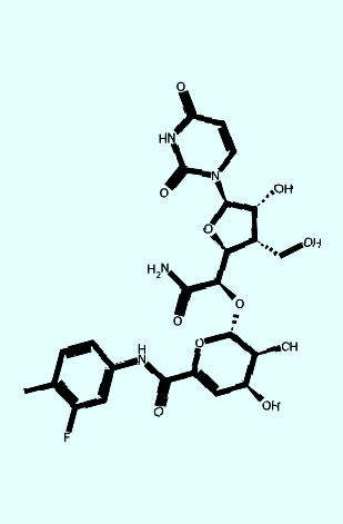 Cc1ccc(NC(=O)C2=C[C@H](O)[C@H](O)[C@@H](O[C@@H](C(N)=O)[C@H]3O[C@@H](n4ccc(=O)[nH]c4=O)[C@H](O)[C@@H]3CO)O2)cc1F